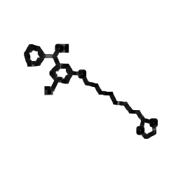 OC(c1ccccc1)c1cc(Br)cc(OCCCCCCCCC2OCCO2)c1